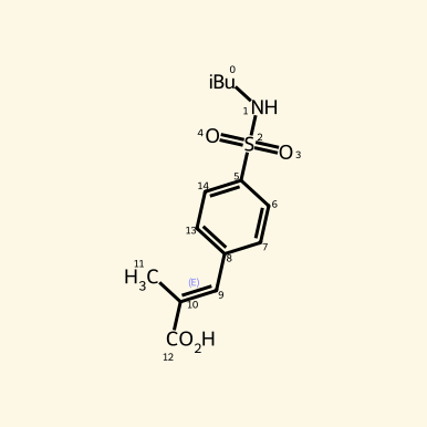 CCC(C)NS(=O)(=O)c1ccc(/C=C(\C)C(=O)O)cc1